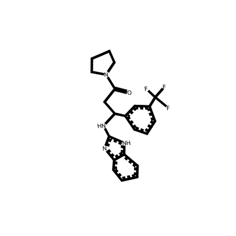 O=C(CC(Nc1nc2ccccc2[nH]1)c1cccc(C(F)(F)F)c1)N1CCCC1